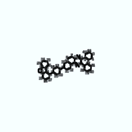 c1ccc(-c2nc3ccc4cc(-c5ccc(-c6cccc7oc8ccccc8c67)cc5)ccc4c3nc2-c2ccccc2)cc1